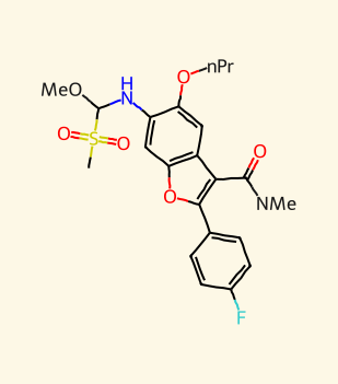 CCCOc1cc2c(C(=O)NC)c(-c3ccc(F)cc3)oc2cc1NC(OC)S(C)(=O)=O